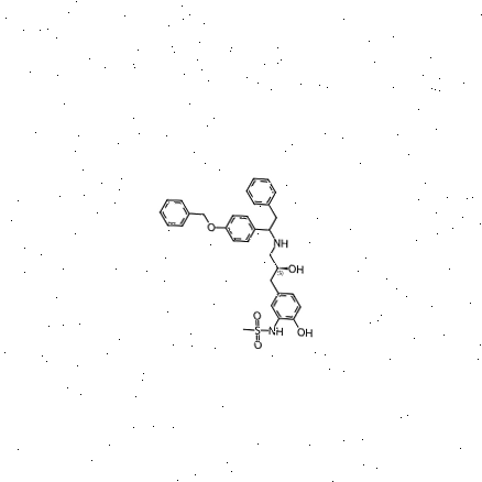 CS(=O)(=O)Nc1cc(C[C@H](O)CNC(Cc2ccccc2)c2ccc(OCc3ccccc3)cc2)ccc1O